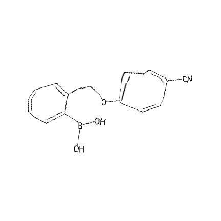 N#Cc1ccc(OCc2ccccc2B(O)O)cc1